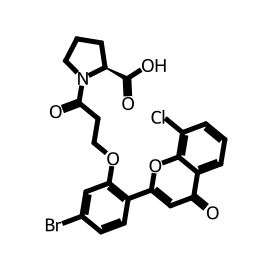 O=C(O)[C@@H]1CCCN1C(=O)CCOc1cc(Br)ccc1-c1cc(=O)c2cccc(Cl)c2o1